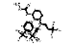 COC(=O)C[C@H]1CCCN([C@H](C#CC(C)(C)C)CCC(F)(F)F)[C@@H]1c1ccc(C(F)(F)F)cc1